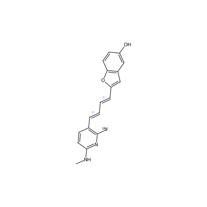 CNc1ccc(/C=C/C=C/c2cc3cc(O)ccc3o2)c([18F])n1